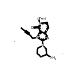 CC#CCn1c(N2CCCC(N)C2)nc2ccn(CCCCC)c(=O)c21